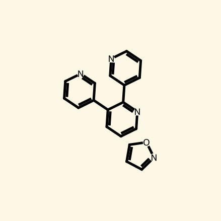 c1cncc(-c2cccnc2-c2cccnc2)c1.c1cnoc1